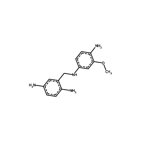 COc1cc(NCc2cc(N)ccc2N)ccc1N